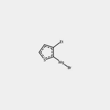 CCc1ccs[c]1[Mg][Br]